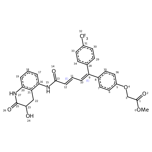 COC(=O)COc1ccc(/C(=C/C=C/C(=O)Nc2cccc3c2CC(O)C(=O)N3)c2ccc(C(F)(F)F)cc2)cc1